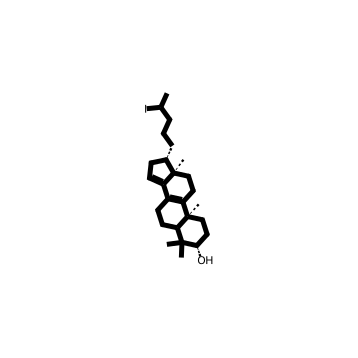 CC(I)CCC[C@H]1CC=C2C3=C(CC[C@@]21C)[C@@]1(C)CC[C@H](O)C(C)(C)C1CC3